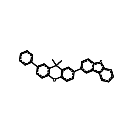 CC1(C)c2cc(-c3ccccc3)ccc2Oc2ccc(-c3ccc4sc5ccccc5c4c3)cc21